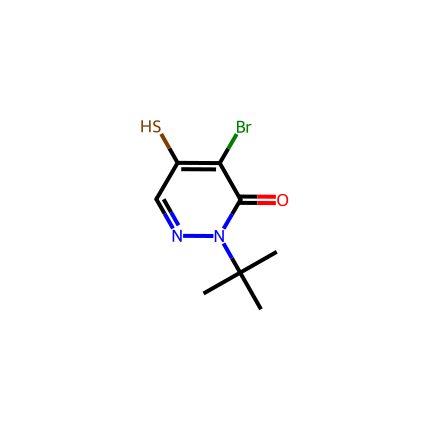 CC(C)(C)n1ncc(S)c(Br)c1=O